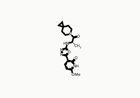 COc1ccc(-c2nnc(N[C@@H](C)C(=O)N3CCC4(CC3)CC4)o2)c(=O)[nH]1